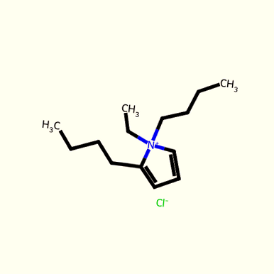 CCCCC1=CC=C[N+]1(CC)CCCC.[Cl-]